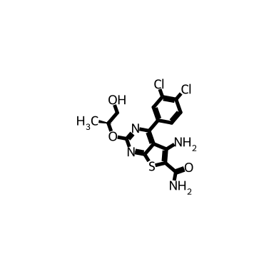 C[C@@H](CO)Oc1nc(-c2ccc(Cl)c(Cl)c2)c2c(N)c(C(N)=O)sc2n1